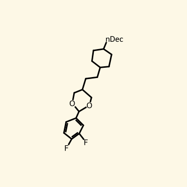 CCCCCCCCCCC1CCC(CCC2COC(c3ccc(F)c(F)c3)OC2)CC1